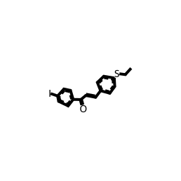 CCSc1ccc(C=CC(=O)c2ccc(I)cc2)cc1